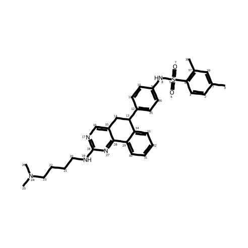 Cc1ccc(S(=O)(=O)Nc2ccc(C3Cc4cnc(NCCCCN(C)C)nc4-c4ccccc43)cc2)c(C)c1